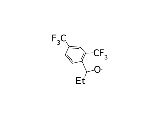 CCC([O])c1ccc(C(F)(F)F)cc1C(F)(F)F